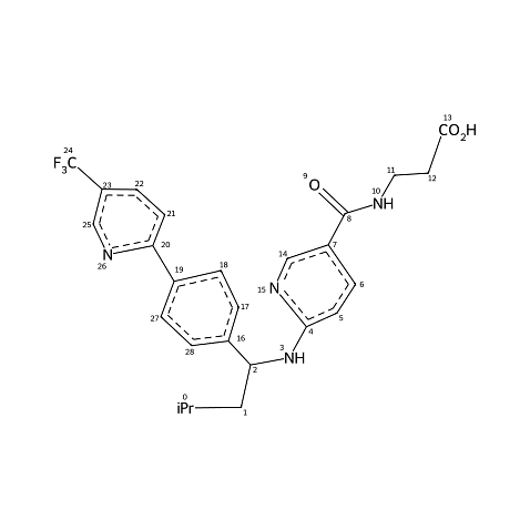 CC(C)CC(Nc1ccc(C(=O)NCCC(=O)O)cn1)c1ccc(-c2ccc(C(F)(F)F)cn2)cc1